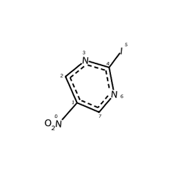 O=[N+]([O-])c1cnc(I)nc1